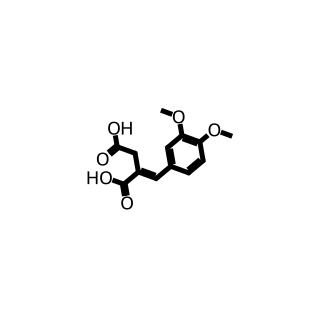 COc1ccc(/C=C(\CC(=O)O)C(=O)O)cc1OC